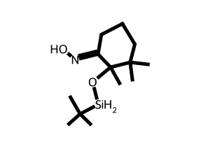 CC(C)(C)[SiH2]OC1(C)C(=NO)CCCC1(C)C